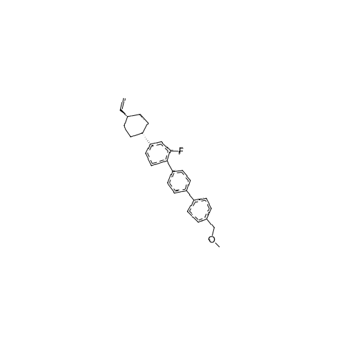 C=C[C@H]1CC[C@H](c2ccc(-c3ccc(-c4ccc(COC)cc4)cc3)c(F)c2)CC1